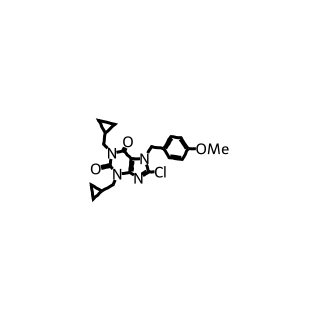 COc1ccc(Cn2c(Cl)nc3c2c(=O)n(CC2CC2)c(=O)n3CC2CC2)cc1